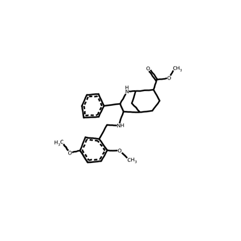 COC(=O)C1CCC2CC1NC(c1ccccc1)C2NCc1cc(OC)ccc1OC